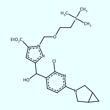 CCOC(=O)c1cc(C(O)c2ccc(N3CC4CC4C3)nc2Cl)nn1COCCS(C)(C)C